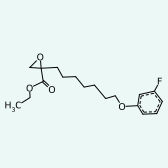 CCOC(=O)C1(CCCCCCCOc2cccc(F)c2)CO1